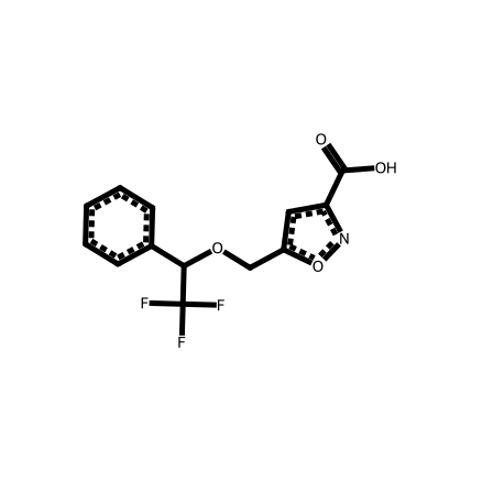 O=C(O)c1cc(COC(c2ccccc2)C(F)(F)F)on1